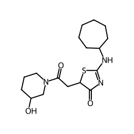 O=C1N=C(NC2CCCCCC2)SC1CC(=O)N1CCCC(O)C1